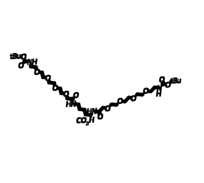 CC(C)(C)OC(=O)NCCOCCOCCOCCOCC(=O)NCCCC[C@H](NC(=O)COCCOCCOCCOCCNC(=O)OC(C)(C)C)C(=O)O